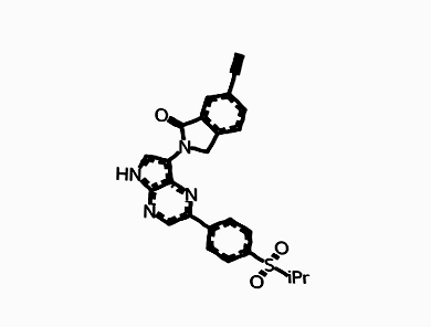 C#Cc1ccc2c(c1)C(=O)N(c1c[nH]c3ncc(-c4ccc(S(=O)(=O)C(C)C)cc4)nc13)C2